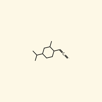 [CH]=C=CC1CCC(C(C)C)CC1C